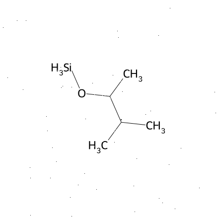 C[C](C)C(C)O[SiH3]